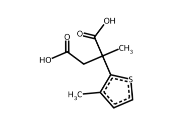 Cc1ccsc1C(C)(CC(=O)O)C(=O)O